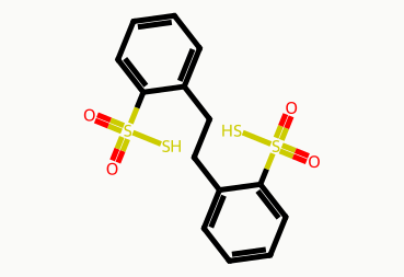 O=S(=O)(S)c1ccccc1CCc1ccccc1S(=O)(=O)S